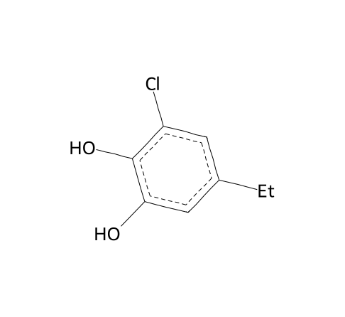 CCc1cc(O)c(O)c(Cl)c1